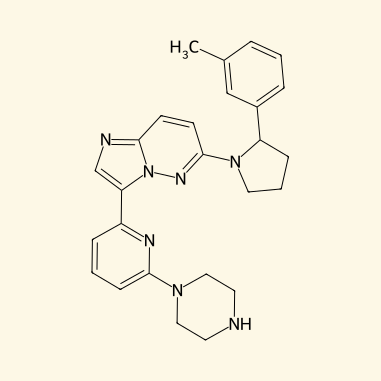 Cc1cccc(C2CCCN2c2ccc3ncc(-c4cccc(N5CCNCC5)n4)n3n2)c1